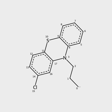 [CH2]CCN1c2ccccc2Sc2ccc(Cl)cc21